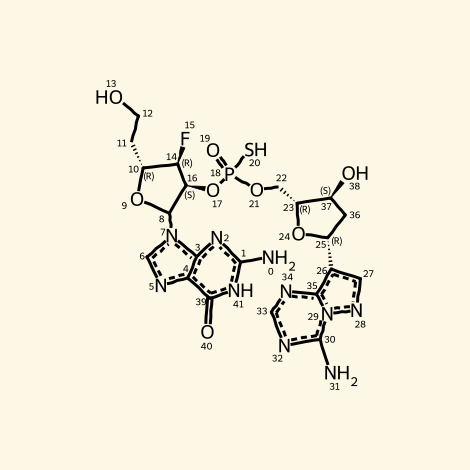 Nc1nc2c(ncn2C2O[C@H](CCO)[C@@H](F)[C@H]2OP(=O)(S)OC[C@H]2O[C@@H](c3cnn4c(N)ncnc34)C[C@@H]2O)c(=O)[nH]1